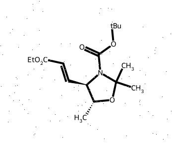 CCOC(=O)/C=C/[C@@H]1[C@@H](C)OC(C)(C)N1C(=O)OC(C)(C)C